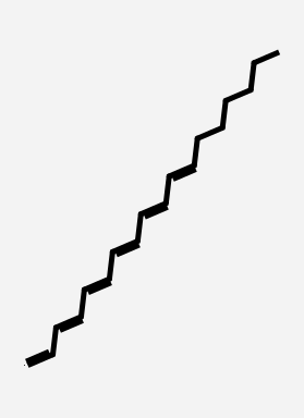 [CH]=C/C=C/C=C/C=C/C=C/C=C/CCCCCC